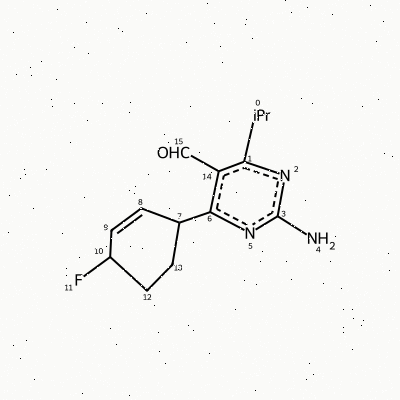 CC(C)c1nc(N)nc(C2C=CC(F)CC2)c1C=O